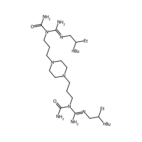 CCCCC(CC)CN=C(N)N(CCCN1CCN(CCCN(C(N)=O)C(N)=NCC(CC)CCCC)CC1)C(N)=O